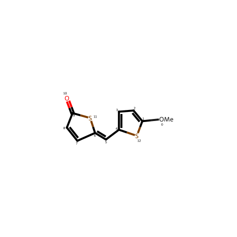 COc1ccc(/C=C2/C=CC(=O)S2)s1